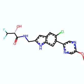 COc1cnc(-c2cc3[nH]c(CNC(=O)[C@@H](O)C(F)F)cc3cc2Cl)cn1